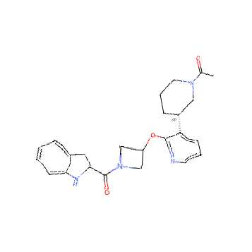 CC(=O)N1CCC[C@@H](c2cccnc2OC2CN(C(=O)C3Cc4ccccc4N3)C2)C1